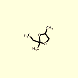 CCC1(C)OCC(C)O1